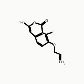 C=CCOc1ccc2cc(CCC)oc(=O)c2c1F